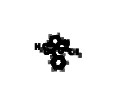 C=C1CCC(=O)C1(OBC)C(=O)c1ccccc1